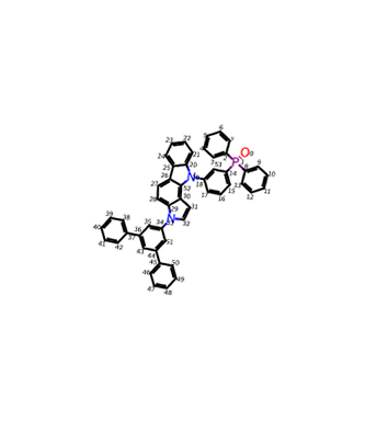 O=P(c1ccccc1)(c1ccccc1)c1cccc(-n2c3ccccc3c3ccc4c(ccn4-c4cc(-c5ccccc5)cc(-c5ccccc5)c4)c32)c1